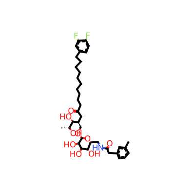 Cc1cccc(CC(=O)NCC2OC(OC[C@H](CC(=O)CCCCCCCCCCc3ccc(F)c(F)c3)[C@H](O)[C@@H](C)O)C(O)C(O)C2O)c1